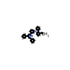 C=Cc1cccc2c1c1ccccc1n2-c1cccc(-c2cc(-c3ccccc3)cc(-c3ccccc3)n2)c1